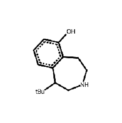 CC(C)(C)C1CNCCc2c(O)cccc21